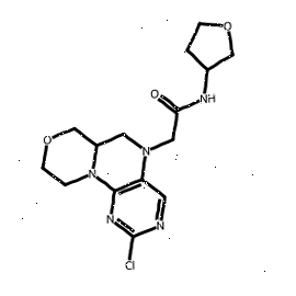 O=C(CN1CC2COCCN2c2nc(Cl)ncc21)NC1CCOC1